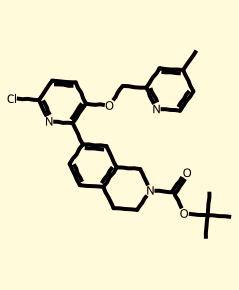 Cc1ccnc(COc2ccc(Cl)nc2-c2ccc3c(c2)CN(C(=O)OC(C)(C)C)CC3)c1